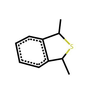 CC1SC(C)c2ccccc21